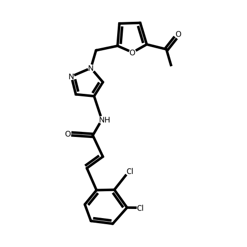 CC(=O)c1ccc(Cn2cc(NC(=O)/C=C/c3cccc(Cl)c3Cl)cn2)o1